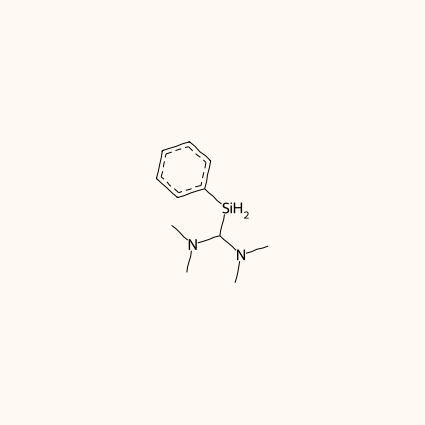 CN(C)C([SiH2]c1ccccc1)N(C)C